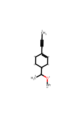 CC#CC1=CCC(C(C)OCCC)CC1